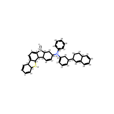 C[SiH]1C2=CC=C3C4C=CC=CC4SC3C2C2C=CC(N(C3=CC=CC(C4C=C5C=CC=CC5CC4)C3)c3ccccc3)CC21